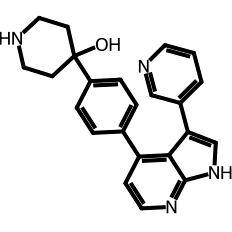 OC1(c2ccc(-c3ccnc4[nH]cc(-c5cccnc5)c34)cc2)CCNCC1